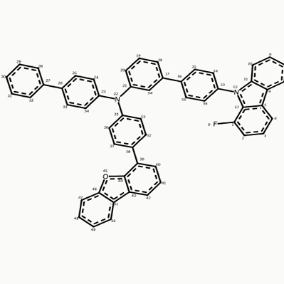 Fc1cccc2c3ccccc3n(-c3ccc(-c4cccc(N(c5ccc(-c6ccccc6)cc5)c5ccc(-c6cccc7c6oc6ccccc67)cc5)c4)cc3)c12